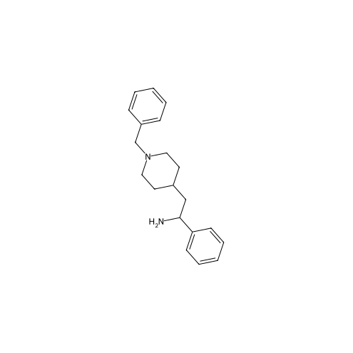 NC(CC1CCN(Cc2ccccc2)CC1)c1ccccc1